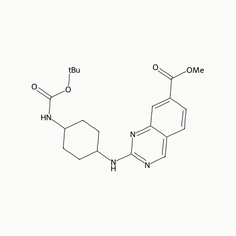 COC(=O)c1ccc2cnc(NC3CCC(NC(=O)OC(C)(C)C)CC3)nc2c1